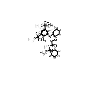 CC(NC(=O)CSC1CCCCC1Sc1cc(C(C)(C)C)cc(C(C)(C)C)c1)N1CCCCC1